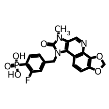 Cn1c(=O)n(Cc2ccc(P(=O)(O)O)c(F)c2)c2c3ccc4c(c3ncc21)OCO4